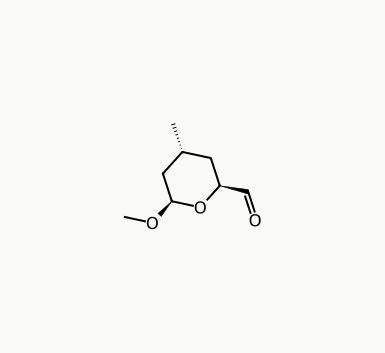 CO[C@H]1C[C@H](C)C[C@@H](C=O)O1